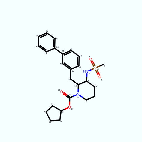 CS(=O)(=O)NC1CCCN(C(=O)OC2CCCC2)C1Cc1cccc(-c2ccccc2)c1